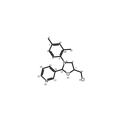 Cc1ccc(N2CC(CCl)OC2c2cccnc2)c(C)c1